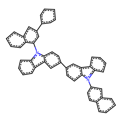 c1ccc(-c2cc(-n3c4ccccc4c4cc(-c5ccc6c(c5)c5ccccc5n6-c5ccc6ccccc6c5)ccc43)c3ccccc3c2)cc1